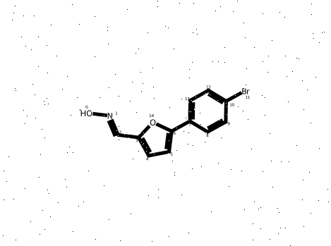 ON=Cc1ccc(-c2ccc(Br)cc2)o1